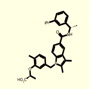 Cc1ccc(Cn2c(C)c(C)c3cc(C(=O)N[C@@H](C)c4cccc(C(C)C)c4)ccc32)cc1O[C@@H](C)C(=O)O